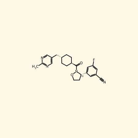 Cc1ncc(C[C@H]2CC[C@H](C(=O)N3OCC[C@H]3c3cc(F)cc(C#N)c3)CC2)cn1